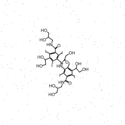 O=C(NCC(O)CO)c1c(I)c(NN(C(=O)CO)c2c(I)c(C(=O)NCC(O)CO)c(I)c(C(O)CO)c2I)c(I)c(C(O)CO)c1I